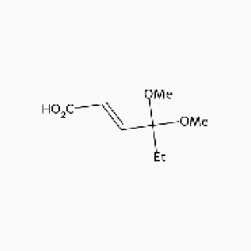 CCC(C=CC(=O)O)(OC)OC